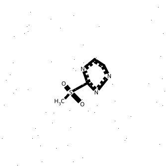 CS(=O)(=O)c1nccnn1